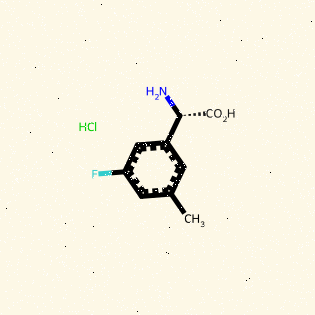 Cc1cc(F)cc([C@H](N)C(=O)O)c1.Cl